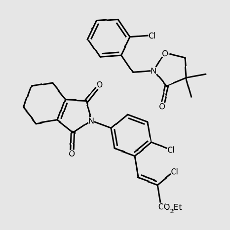 CC1(C)CON(Cc2ccccc2Cl)C1=O.CCOC(=O)/C(Cl)=C/c1cc(N2C(=O)C3=C(CCCC3)C2=O)ccc1Cl